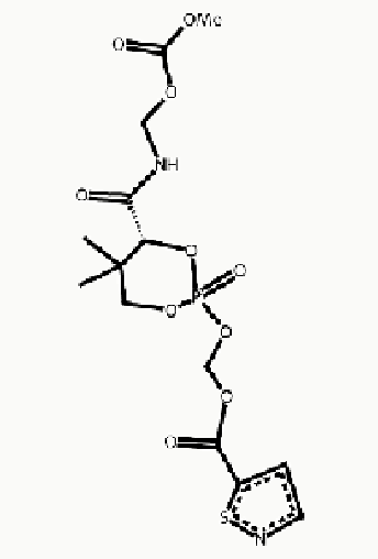 COC(=O)OCNC(=O)[C@@H]1OP(=O)(OCOC(=O)c2ccns2)OCC1(C)C